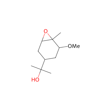 COC1CC(C(C)(C)O)CC2OC12C